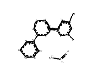 Cc1cc(C)cc(-c2cccc(-c3ccccc3)c2)c1.O=PO